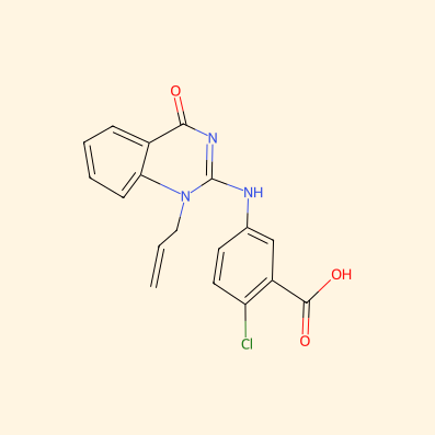 C=CCn1c(Nc2ccc(Cl)c(C(=O)O)c2)nc(=O)c2ccccc21